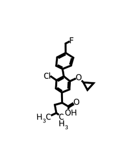 CC(C)CC(C(=O)O)c1cc(Cl)c(-c2ccc(CF)cc2)c(OC2CC2)c1